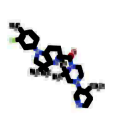 CCOC(=O)c1ccncc1N1CCN(C(=O)c2ccc3c(n2)C(C)(C)CN3c2ccc(C)c(F)c2)C(C)(C)C1